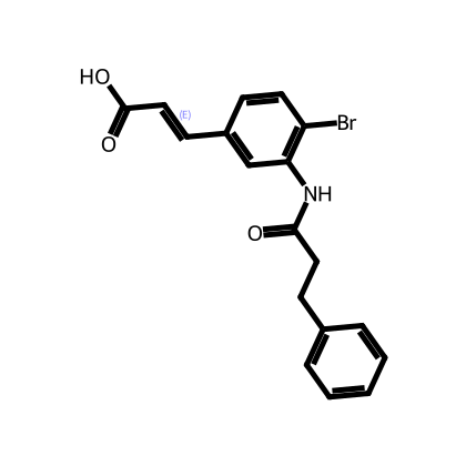 O=C(O)/C=C/c1ccc(Br)c(NC(=O)CCc2ccccc2)c1